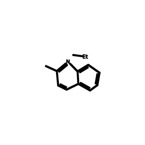 CCC.Cc1ccc2ccccc2n1